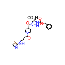 O=C(N[C@@H](CNC(=O)C1CCN(C(=O)CCCNC2=NCCS2)CC1)C(=O)O)OCc1ccccc1